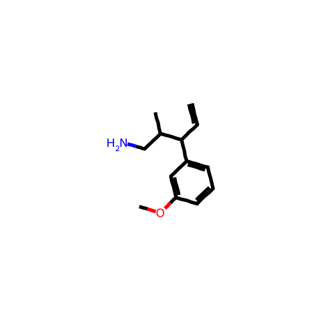 C=CC(c1cccc(OC)c1)C(C)CN